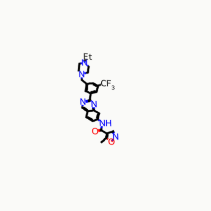 CCN1CCN(Cc2cc(-c3ncc4ccc(NC(=O)c5cnoc5C)cc4n3)cc(C(F)(F)F)c2)CC1